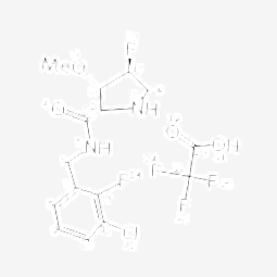 CO[C@H]1[C@@H](C(=O)NCc2cccc(Cl)c2F)NC[C@@H]1F.O=C(O)C(F)(F)F